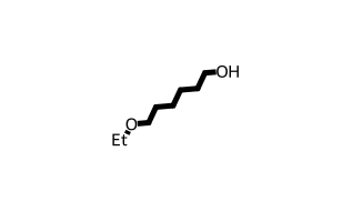 CCOCCCCCCO